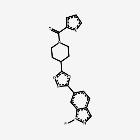 CC(C)n1ncc2ccc(-c3noc(C4CCN(C(=O)c5cccs5)CC4)n3)cc21